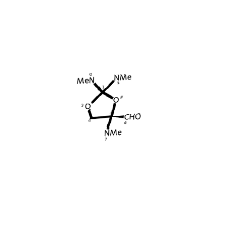 CNC1(NC)OC[C@@](C=O)(NC)O1